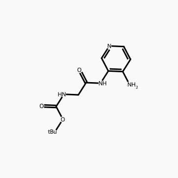 CC(C)(C)OC(=O)NCC(=O)Nc1cnccc1N